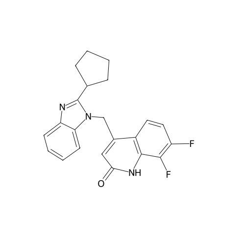 O=c1cc(Cn2c(C3CCCC3)nc3ccccc32)c2ccc(F)c(F)c2[nH]1